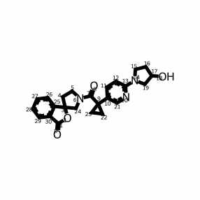 O=C1OC2(CCN(C(=O)C3(c4ccc(N5CCC(O)C5)nc4)CC3)C2)c2ccccc21